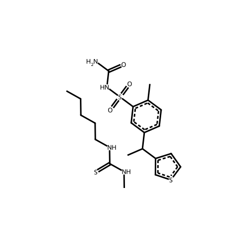 CCCCCNC(=S)NC.Cc1ccc(C(C)c2ccsc2)cc1S(=O)(=O)NC(N)=O